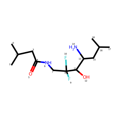 CC(C)CC(=O)NCC(F)(F)C(O)C(N)CC(C)C